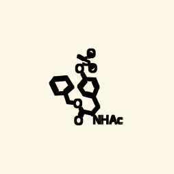 CC(=O)NC(Cc1ccc(OS(C)(=O)=O)cc1)C(=O)OCc1ccccc1